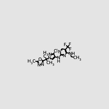 CCNc1nc(Nc2cn(C(C)(C)c3nnc(C)o3)nc2Cl)ncc1C(F)(F)F